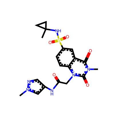 Cn1cc(NC(=O)Cn2c(=O)n(C)c(=O)c3cc(S(=O)(=O)NC4(C)CC4)ccc32)cn1